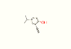 C#Cc1cc(C(C)C)ccc1O